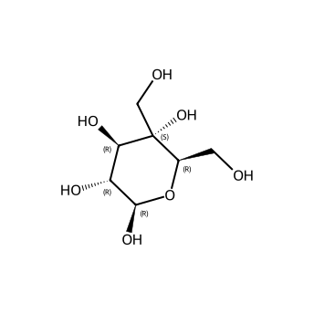 OC[C@H]1O[C@@H](O)[C@H](O)[C@@H](O)[C@@]1(O)CO